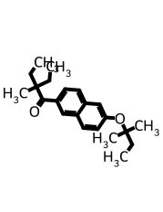 CCC(C)(C)Oc1ccc2cc(C(=O)C(C)(CC)CC)ccc2c1